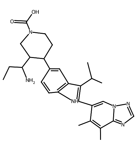 CCC(N)C1CN(C(=O)O)CCC1c1ccc2[nH]c(-c3cn4ncnc4c(C)c3C)c(C(C)C)c2c1